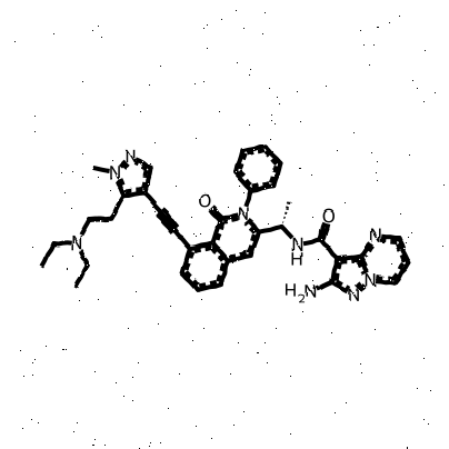 CCN(CC)CCc1c(C#Cc2cccc3cc([C@H](C)NC(=O)c4c(N)nn5cccnc45)n(-c4ccccc4)c(=O)c23)cnn1C